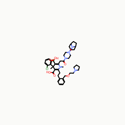 CN1C(CCc2ccccc2COCCN2CCCC2)=C(C(=O)O)C(C)(c2c(Cl)cccc2Cl)C(C(=O)O)=C1CC(=O)N1CCN(C2CC3CCC(C2)N3C)CC1